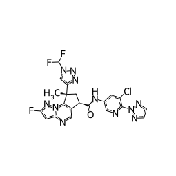 C[C@@]1(c2cn(C(F)F)nn2)C[C@@H](C(=O)Nc2cnc(-n3nccn3)c(Cl)c2)c2cnc3cc(F)nn3c21